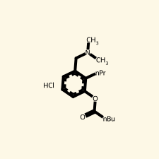 CCCCC(=O)Oc1cccc(CN(C)C)c1CCC.Cl